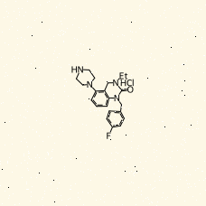 CCN1Cc2c(N3CCNCC3)cccc2N(Cc2ccc(F)cc2)C1=O.Cl